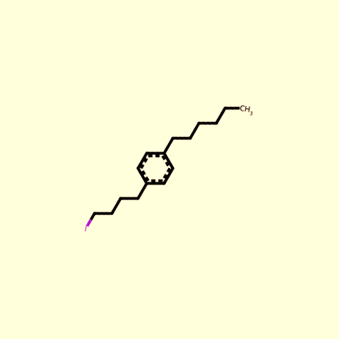 CCCCCCc1ccc(CCCCI)cc1